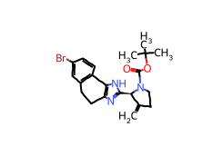 C=C1CCN(C(=O)OC(C)(C)C)[C@@H]1c1nc2c([nH]1)-c1ccc(Br)cc1CC2